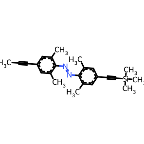 CC#Cc1cc(C)c(/N=N/c2c(C)cc(C#C[Si](C)(C)C)cc2C)c(C)c1